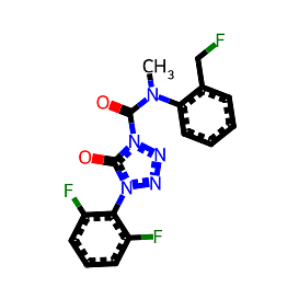 CN(C(=O)n1nnn(-c2c(F)cccc2F)c1=O)c1ccccc1CF